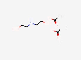 CC(=O)[O-].CC(=O)[O-].OCCNCCO.[Cu+2]